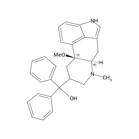 CO[C@]12CC(C(O)(c3ccccc3)c3ccccc3)CN(C)[C@@H]1Cc1c[nH]c3cccc2c13